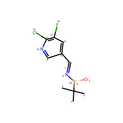 CC(C)(C)[S@@+]([O-])/N=C/c1cnc(Cl)c(F)c1